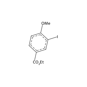 CCOC(=O)c1ccc(OC)c(I)c1